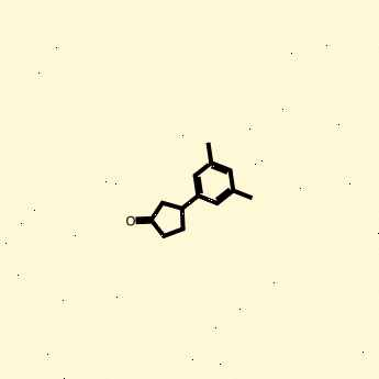 Cc1cc(C)cc(C2CCC(=O)C2)c1